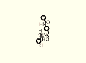 O=C(Nc1ccc(C[C@@H](CO)NC[C@@H](O)c2cccc(Cl)c2)cc1)c1ccccc1